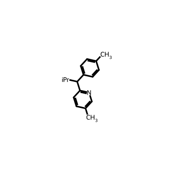 Cc1ccc(C(c2ccc(C)cn2)C(C)C)cc1